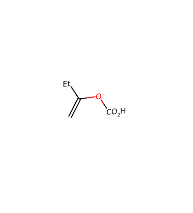 C=C(CC)OC(=O)O